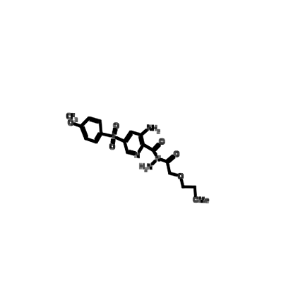 COCCOCC(=O)N(N)C(=O)c1ncc(S(=O)(=O)c2ccc(OC(F)(F)F)cc2)cc1N